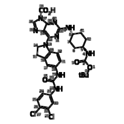 CC(C)(C)OC(=O)N[C@H]1CC[C@H](Nc2nc(N3CCc4cc(NC(=O)Nc5ccc(Cl)c(Cl)c5)ccc43)c3ncn(C(=O)O)c3n2)CC1